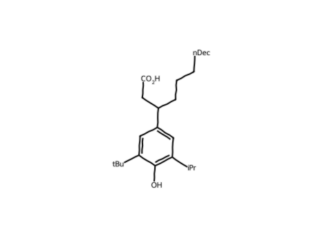 CCCCCCCCCCCCCC(CC(=O)O)c1cc(C(C)C)c(O)c(C(C)(C)C)c1